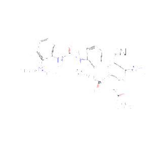 COC(=O)CC1=C(C(=O)OC)C(c2cccc(NC(=O)Nc3ccccc3N(C)C)c2)C(C#N)=C(N)O1